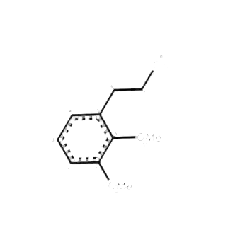 COc1c[c]cc(CCC(F)(F)F)c1OC